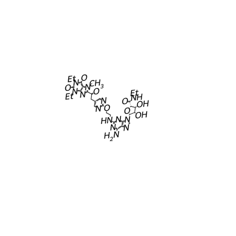 CCNC(=O)[C@H]1O[C@@H](n2cnc3c(N)nc(NCCOc4ncc(CC(=O)c5nc6c(c(=O)n(CC)c(=O)n6CC)n5C)cn4)nc32)[C@H](O)[C@@H]1O